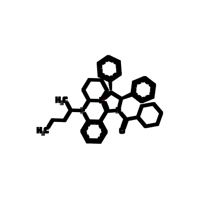 CCCC(C)P(c1ccccc1C1=N[C@H](c2ccccc2)[C@@H](c2ccccc2)N1C(=O)C1CCCCC1)C1CCCCC1